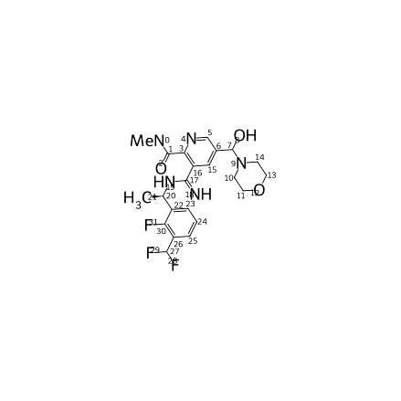 CNC(=O)c1ncc(C(O)N2CCOCC2)cc1C(=N)N[C@H](C)c1cccc(C(F)F)c1F